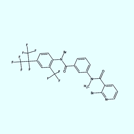 CN(C(=O)c1cccnc1Br)c1cccc(C(=O)N(Br)c2ccc(C(F)(C(F)(F)F)C(F)(F)F)cc2C(F)(F)F)c1